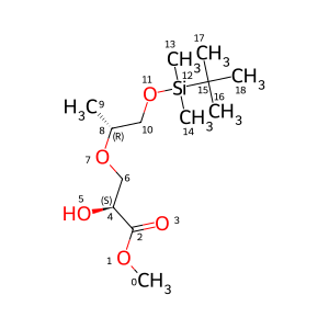 COC(=O)[C@@H](O)CO[C@H](C)CO[Si](C)(C)C(C)(C)C